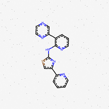 c1ccc(-c2csc(Nc3ncccc3-c3cnccn3)n2)nc1